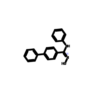 O/N=C(/Nc1ccccc1)c1ccc(-c2ccccc2)cc1